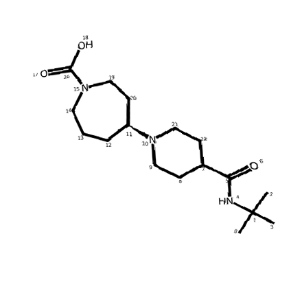 CC(C)(C)NC(=O)C1CCN([C@H]2CCCN(C(=O)O)CC2)CC1